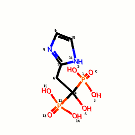 O=P(O)(O)C(O)(Cc1ncc[nH]1)P(=O)(O)O